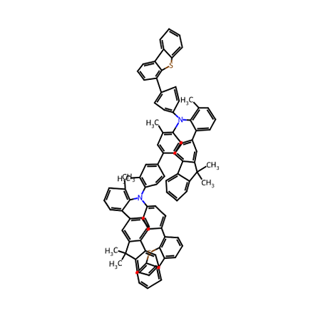 Cc1cc(-c2ccc(N(c3ccc(-c4cccc5c4sc4ccccc45)cc3)c3c(C)cccc3-c3ccc4c(c3)C(C)(C)c3ccccc3-4)c(C)c2)ccc1N(c1ccc(-c2cccc3c2sc2ccccc23)cc1)c1c(C)cccc1-c1ccc2c(c1)C(C)(C)c1ccccc1-2